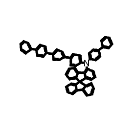 c1ccc(-c2ccc(-c3ccc(-c4ccc(N(c5ccc(-c6ccccc6)cc5)c5cccc6c5-c5ccccc5C65c6ccccc6-c6ccccc65)cc4)cc3)cc2)cc1